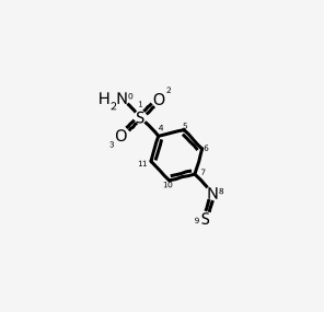 NS(=O)(=O)c1ccc(N=S)cc1